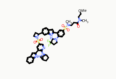 COCCN(C)C(=O)CCN(C)S(=O)(=O)c1ccc(N2CCC(F)(F)C2)c(-c2cc3ccc(C4CCN4S(=O)(=O)c4cnc(N5CC6CCC5C6)c(-c5cc6ccccc6[nH]5)c4)cc3[nH]2)c1